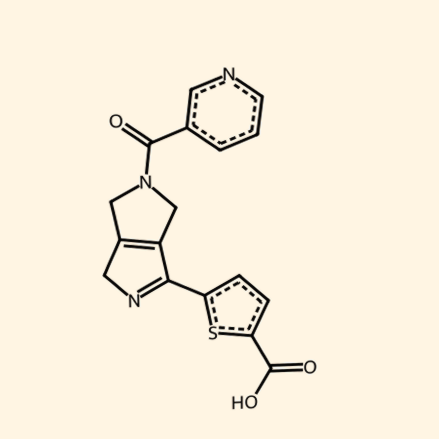 O=C(O)c1ccc(C2=NCC3=C2CN(C(=O)c2cccnc2)C3)s1